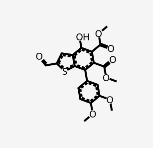 COC(=O)c1c(C(=O)OC)c(-c2ccc(OC)c(OC)c2)c2sc(C=O)cc2c1O